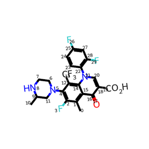 Cc1c(F)c(N2CCNC(C)C2)c(C(F)(F)F)c2c1c(=O)c(C(=O)O)cn2-c1ccc(F)cc1F